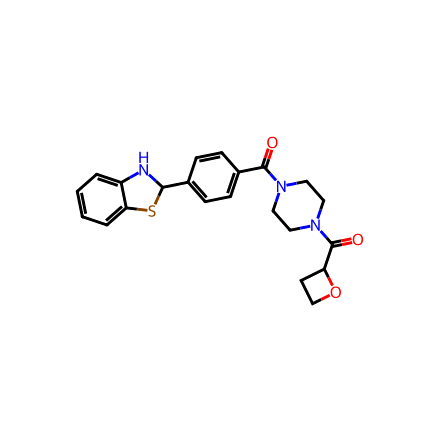 O=C(c1ccc(C2Nc3ccccc3S2)cc1)N1CCN(C(=O)C2CCO2)CC1